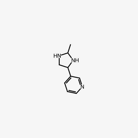 CC1NCC(c2cccnc2)N1